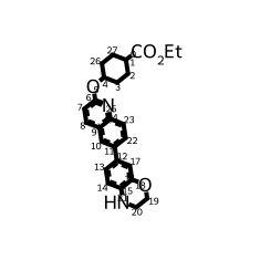 CCOC(=O)C1CCC(Oc2ccc3cc(-c4ccc5c(c4)OCCN5)ccc3n2)CC1